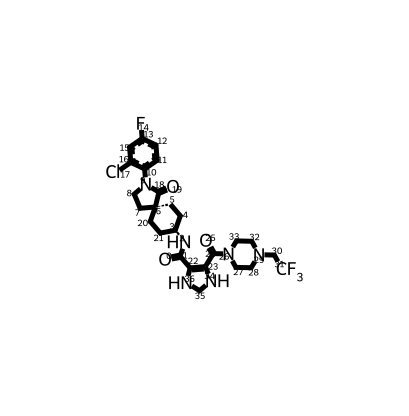 O=C(N[C@H]1CC[C@@]2(CCN(c3ccc(F)cc3Cl)C2=O)CC1)C1=C(C(=O)N2CCN(CC(F)(F)F)CC2)NCN1